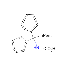 [CH2]CCCCC(NC(=O)O)(c1ccccc1)c1ccccc1